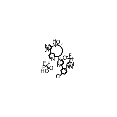 C[C@@H]1CCC[C@H](n2cnc(-c3cc(Cl)ccc3-n3cc(C(F)(F)F)nn3)cc2=O)c2cc(ccn2)-c2c(cnn2C)NC1=O.O=C(O)C(F)(F)F